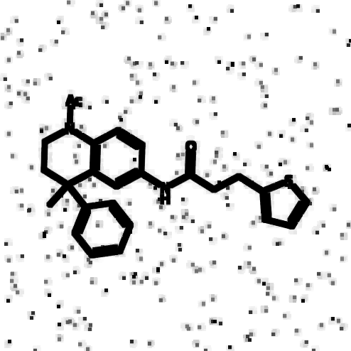 CC(=O)N1CCC(C)(c2ccccc2)c2cc(NC(=O)CCc3cccs3)ccc21